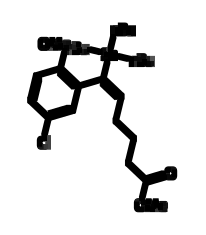 CCC[CH2][Sn]([CH2]CCC)([CH2]CCC)/[C](=C/CCCC(=O)OC)c1cc(Cl)ccc1OC